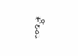 Cc1cccc(-n2nnn(C)c2=O)c1COc1cccc(-c2ccc(NS(C)(=O)=O)cc2)n1